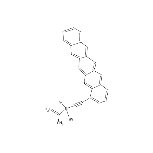 C=C(C)[Si](C#Cc1cccc2cc3cc4cc5ccccc5cc4cc3cc12)(C(C)C)C(C)C